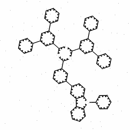 c1ccc(-c2cc(-c3ccccc3)cc(-c3nc(-c4cccc(-c5ccc6c(c5)c5ccccc5n6-c5ccccc5)c4)nc(-c4cc(-c5ccccc5)cc(-c5ccccc5)c4)n3)c2)cc1